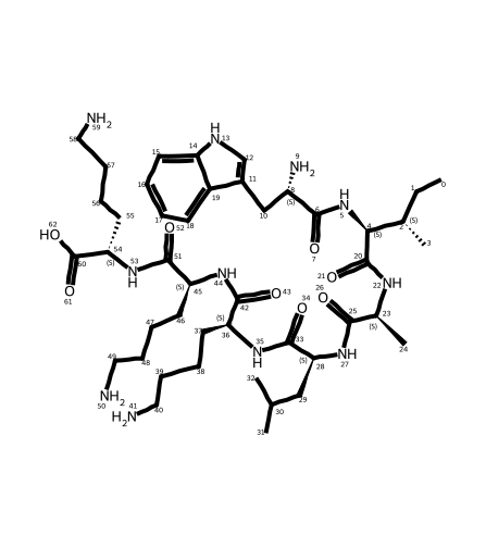 CC[C@H](C)[C@H](NC(=O)[C@@H](N)Cc1c[nH]c2ccccc12)C(=O)N[C@@H](C)C(=O)N[C@@H](CC(C)C)C(=O)N[C@@H](CCCCN)C(=O)N[C@@H](CCCCN)C(=O)N[C@@H](CCCCN)C(=O)O